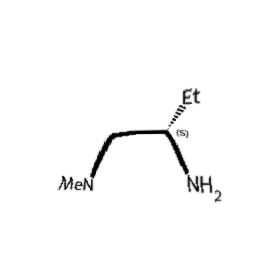 CC[C@H](N)CNC